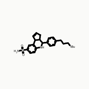 CC(C)(C)CCCc1ccc(C2Nc3ccc(S(N)(=O)=O)cc3C3C=CCC32)cc1